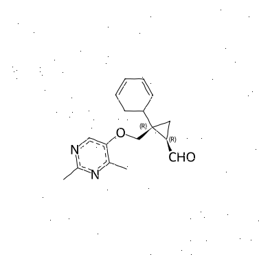 Cc1ncc(OC[C@@]2(C3C=CC=CC3)C[C@H]2C=O)c(C)n1